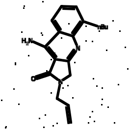 C=CCN1Cc2nc3c(CCCC)cccc3c(N)c2C1=O